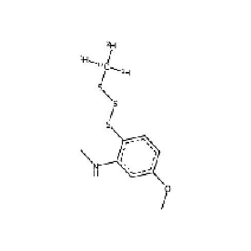 [1H][13C]([1H])([2H])SSSc1ccc(OC)cc1NC